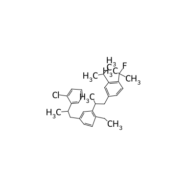 CCc1ccc(CC(C)c2ccccc2Cl)cc1C(C)Cc1ccc(C(C)(C)F)c(C(C)C)c1